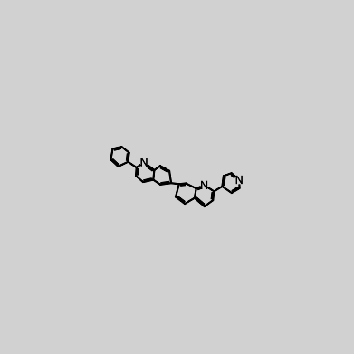 c1ccc(-c2ccc3cc(-c4ccc5ccc(-c6ccncc6)nc5c4)ccc3n2)cc1